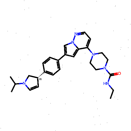 CCNC(=O)N1CCN(c2ccnn3cc(-c4ccc([C@@H]5C=CN(C(C)C)C5)cc4)cc23)CC1